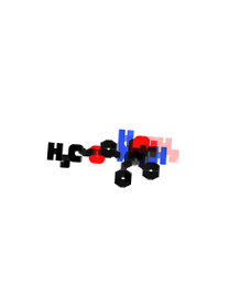 BC(=O)N[C@H](Cc1ccccc1)[C@H](O)[C@@H](CCc1ccccc1)NCc1cccc(OCCCC)c1